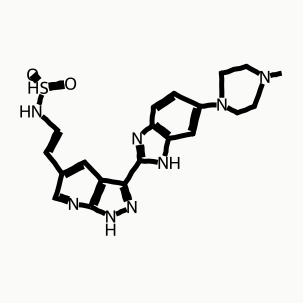 CN1CCN(c2ccc3nc(-c4n[nH]c5ncc(C=CN[SH](=O)=O)cc45)[nH]c3c2)CC1